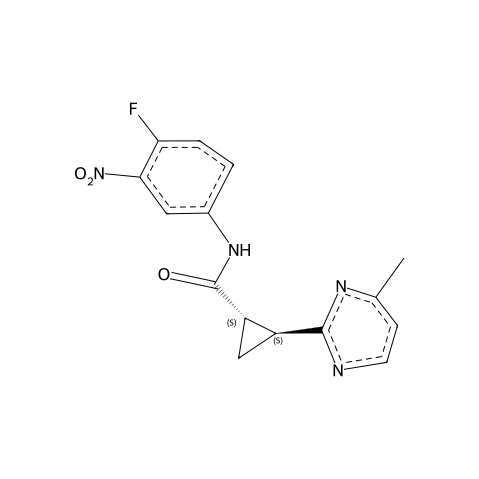 Cc1ccnc([C@H]2C[C@@H]2C(=O)Nc2ccc(F)c([N+](=O)[O-])c2)n1